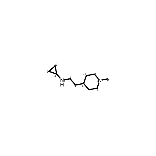 CN1CCC(CCNC2CC2)CC1